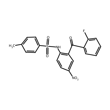 Cc1ccc(S(=O)(=O)Nc2ccc([N+](=O)[O-])cc2C(=O)c2ccccc2F)cc1